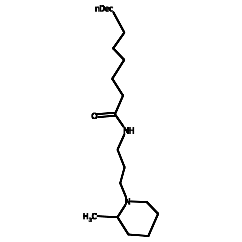 CCCCCCCCCCCCCCCC(=O)NCCCN1CCCCC1C